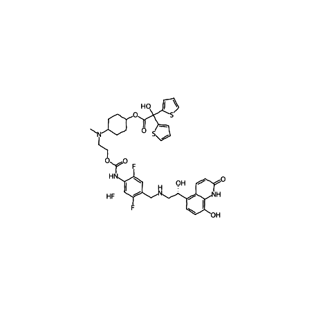 CN(CCOC(=O)Nc1cc(F)c(CNC[C@H](O)c2ccc(O)c3[nH]c(=O)ccc23)cc1F)C1CCC(OC(=O)C(O)(c2cccs2)c2cccs2)CC1.F